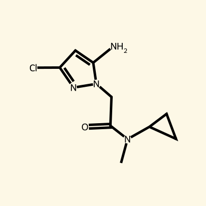 CN(C(=O)Cn1nc(Cl)cc1N)C1CC1